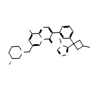 CC1CC(c2cccc(-c3cnc4c(F)cc(CN5CCC[C@H](C)C5)cn4c3=O)c2)(c2nncn2C)C1